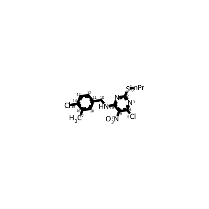 CCCSc1nc(Cl)c([N+](=O)[O-])c(NCc2ccc(Cl)c(C)c2)n1